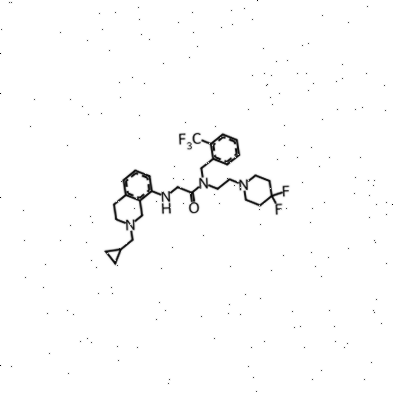 O=C(CNc1cccc2c1CN(CC1CC1)CC2)N(CCN1CCC(F)(F)CC1)Cc1ccccc1C(F)(F)F